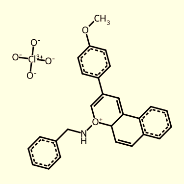 COc1ccc(C2=C[O+](NCc3ccccc3)C3C=Cc4ccccc4C3=C2)cc1.[O-][Cl+3]([O-])([O-])[O-]